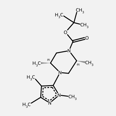 Cc1nn(C)c(N2C[C@@H](C)N(C(=O)OC(C)(C)C)C[C@H]2C)c1C